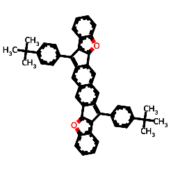 CC(C)(C)c1ccc(C2=c3cc4cc5c(cc4cc3-c3oc4ccccc4c32)=C(c2ccc(C(C)(C)C)cc2)c2c-5oc3ccccc23)cc1